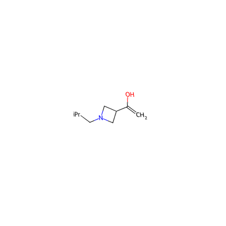 C=C(O)C1CN(CC(C)C)C1